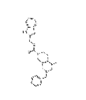 CN1CN(Cc2ccccc2)CC2=C1CCN(C(=O)OCc1cc3ccccc3[nH]1)C2